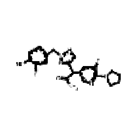 N#Cc1ccc(Cn2ncc(C(C(N)=O)c3cnc(N4CCCC4)c(F)c3)n2)cc1F